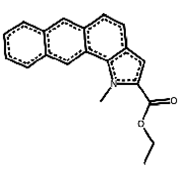 CCOC(=O)c1cc2ccc3cc4ccccc4cc3c2n1C